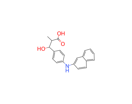 CC(C(=O)O)C(O)c1ccc(Nc2ccc3ccccc3c2)cc1